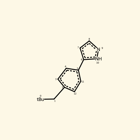 CC(C)(C)Cc1ccc(-c2ccn[nH]2)cc1